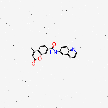 Cc1cc(=O)oc2cc(C(=O)Nc3ccc4ncccc4c3)ccc12